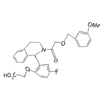 COc1cccc(COCC(=O)N2CCc3ccccc3C2c2cc(F)ccc2OCC(=O)O)c1